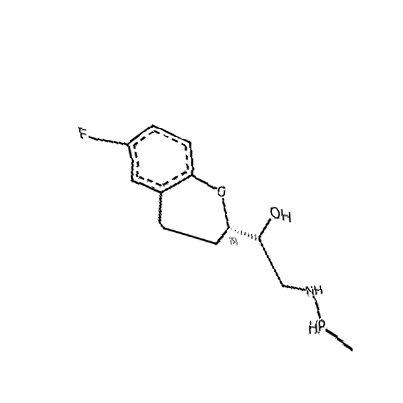 CPNCC(O)[C@@H]1CCc2cc(F)ccc2O1